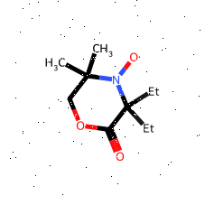 CCC1(CC)C(=O)OCC(C)(C)N1[O]